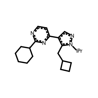 CC(C)n1ncc(-c2ccnc([C]3CCCCC3)n2)c1CC1CCC1